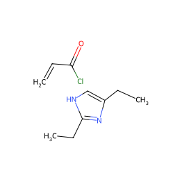 C=CC(=O)Cl.CCc1c[nH]c(CC)n1